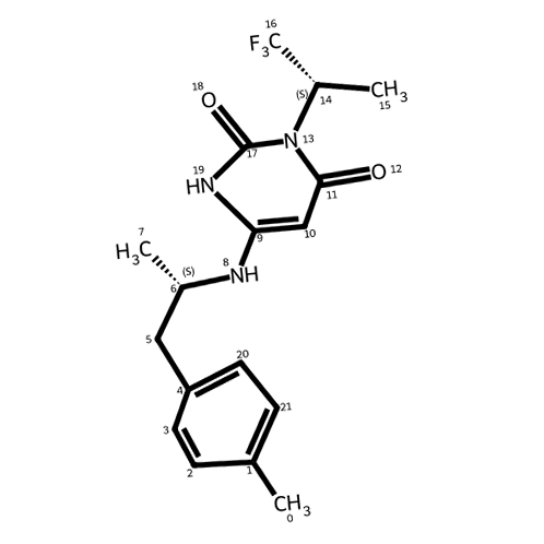 Cc1ccc(C[C@H](C)Nc2cc(=O)n([C@@H](C)C(F)(F)F)c(=O)[nH]2)cc1